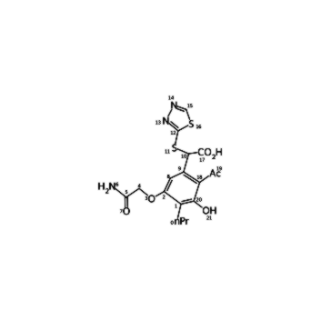 CCCc1c(OCC(N)=O)cc(C(Sc2nncs2)C(=O)O)c(C(C)=O)c1O